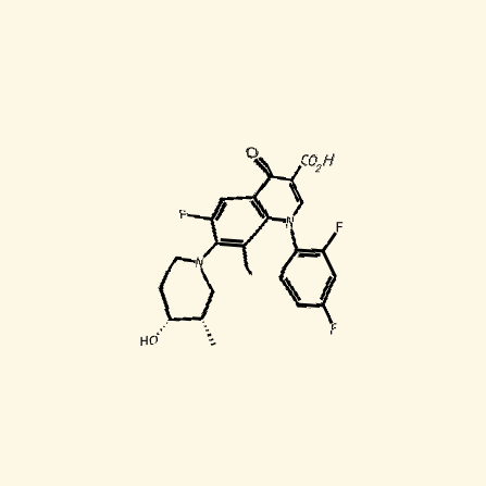 Cc1c(N2CC[C@@H](O)[C@@H](C)C2)c(F)cc2c(=O)c(C(=O)O)cn(-c3ccc(F)cc3F)c12